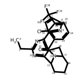 CCc1nc(-c2cc[nH]n2)c2c(n1)C1CCCC(C2)N1C(=O)c1cccc(C(F)(F)F)c1Cl